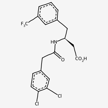 O=C(O)C[C@H](Cc1cccc(C(F)(F)F)c1)NC(=O)Cc1ccc(Cl)c(Cl)c1